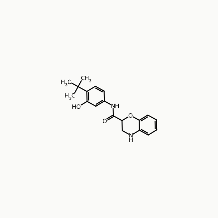 CC(C)(C)c1ccc(NC(=O)C2CNc3ccccc3O2)cc1O